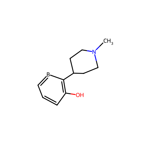 CN1CCC(c2bcccc2O)CC1